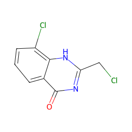 O=c1nc(CCl)[nH]c2c(Cl)cccc12